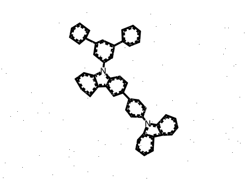 c1ccc(-c2cc(-c3ccccc3)cc(-n3c4ccccc4c4cc(-c5ccc(-n6c7ccccc7c7ccccc76)cc5)ccc43)c2)cc1